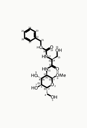 CO[C@H]1O[C@H](CO)[C@@H](O)[C@H](O)[C@H]1NC(=O)[C@H](CO)NC(=O)OCc1ccccc1